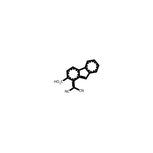 N#CC(C#N)=c1c(C(=O)O)ccc2c1=Cc1ccccc1-2